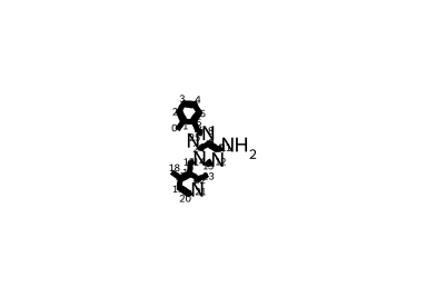 Cc1ccccc1-c1nc2c(N)ncn(Cc3c(C)ccnc3C)c-2n1